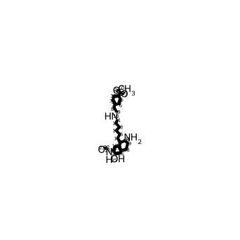 CS(=O)(=O)c1ccc(CCNCCCCCCC2c3cc(NC=O)c(O)cc3CCC2N)cc1